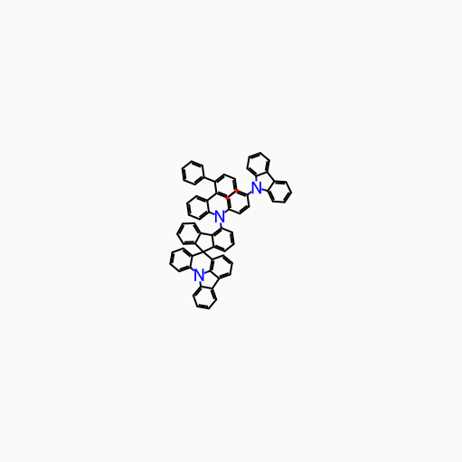 c1ccc(-c2ccccc2-c2ccccc2N(c2ccc(-n3c4ccccc4c4ccccc43)cc2)c2cccc3c2-c2ccccc2C32c3ccccc3-n3c4ccccc4c4cccc2c43)cc1